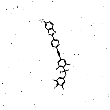 Cc1ccc2nc(-c3ccc(C#Cc4cc(F)c(C(F)(F)Oc5cc(F)c(F)c(F)c5)c(F)c4)nc3)sc2c1